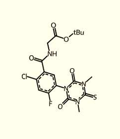 Cn1c(=S)n(C)c(=O)n(-c2cc(C(=O)NCC(=O)OC(C)(C)C)c(Cl)cc2F)c1=O